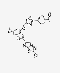 COc1cc(OCc2csc(-c3ccc(C(C)=O)cc3)n2)c2cc(-c3cn4nc(OC)sc4n3)oc2c1